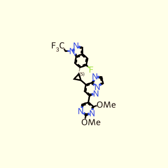 COc1ncc(-c2cc(C3C[C@@H]3c3cc4c(cnn4CC(F)(F)F)cc3F)c3nccn3n2)c(OC)n1